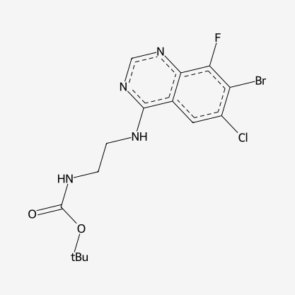 CC(C)(C)OC(=O)NCCNc1ncnc2c(F)c(Br)c(Cl)cc12